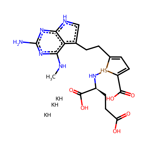 CNc1nc(N)nc2[nH]cc(CCC3=CC=C(C(=O)O)[SH]3N[C@@H](CCC(=O)O)C(=O)O)c12.[KH].[KH].[KH]